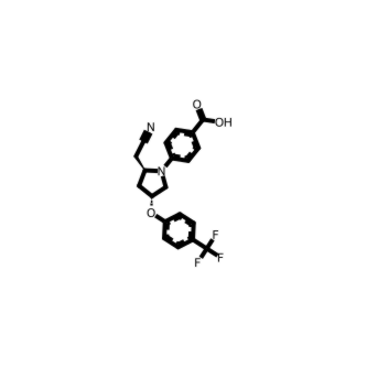 N#CC[C@@H]1C[C@@H](Oc2ccc(C(F)(F)F)cc2)CN1c1ccc(C(=O)O)cc1